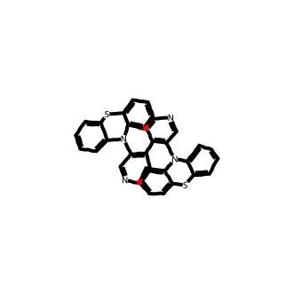 c1ccc2c(c1)Sc1ccccc1N2c1cnccc1-c1ccncc1N1c2ccccc2Sc2ccccc21